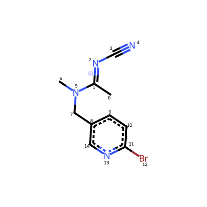 C/C(=N\C#N)N(C)Cc1ccc(Br)nc1